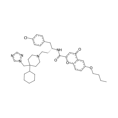 CCCCOc1ccc2oc(C(=O)N[C@H](CCN3CCC(Cn4cncn4)(C4CCCCC4)CC3)Cc3ccc(Cl)cc3)cc(=O)c2c1